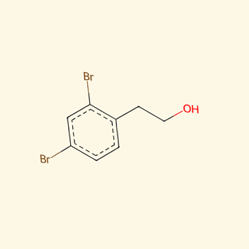 OCCc1ccc(Br)cc1Br